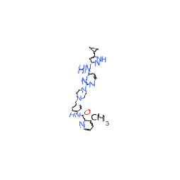 Cc1cccnc1C(=O)Nc1ccc(CN2CCN(c3nccc(Nc4cc(C5CC5)[nH]n4)n3)CC2)cc1